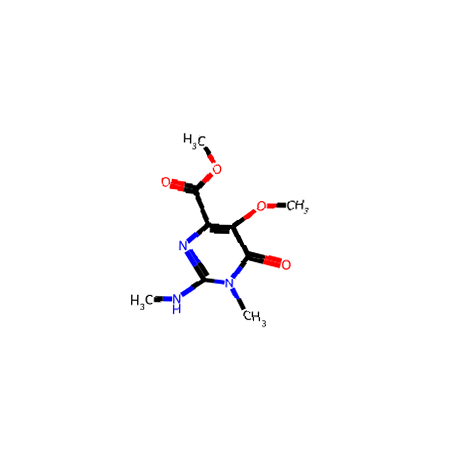 CNc1nc(C(=O)OC)c(OC)c(=O)n1C